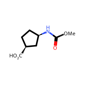 COC(=O)N[C@@H]1CC[C@H](C(=O)O)C1